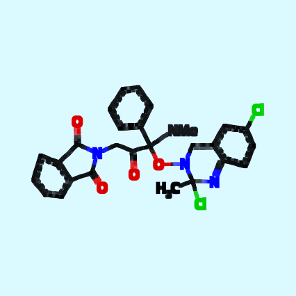 CNC(ON1C=c2cc(Cl)ccc2=NC1(C)Cl)(C(=O)CN1C(=O)c2ccccc2C1=O)c1ccccc1